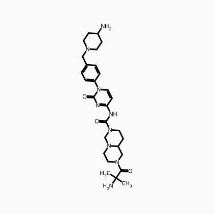 CC(C)(N)C(=O)N1CCN2CN(C(=O)Nc3ccn(-c4ccc(CN5CCC(N)CC5)cc4)c(=O)n3)CCC2C1